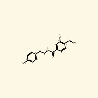 CC(C)Oc1ccc(C(=O)NCCc2ccc(Br)cc2)cc1Cl